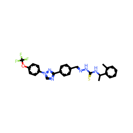 Cc1ccccc1C(C)NC(=S)N/N=C/c1ccc(-c2ncn(-c3ccc(OC(F)(F)F)cc3)n2)cc1